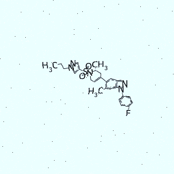 CCCn1cc(S(=O)(=O)N2CC=C(c3cc4cnn(-c5ccc(F)cc5)c4cc3C)C[C@H]2C)cn1